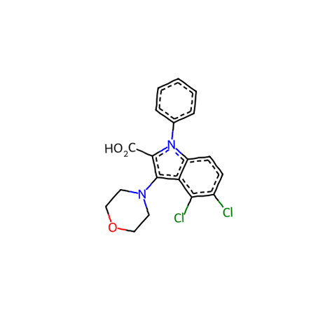 O=C(O)c1c(N2CCOCC2)c2c(Cl)c(Cl)ccc2n1-c1ccccc1